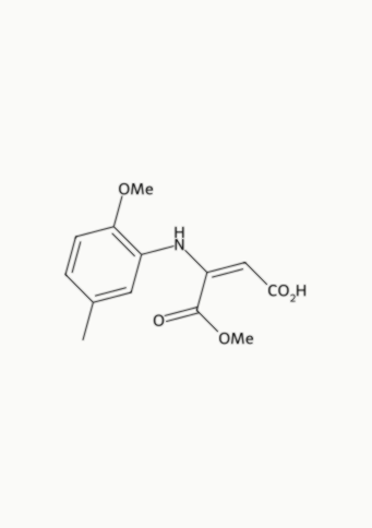 COC(=O)C(=CC(=O)O)Nc1cc(C)ccc1OC